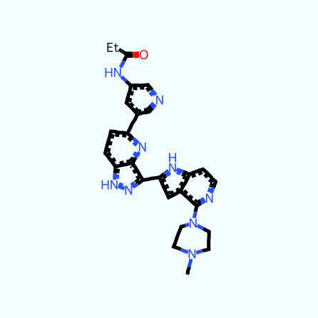 CCC(=O)Nc1cncc(-c2ccc3[nH]nc(-c4cc5c(N6CCN(C)CC6)nccc5[nH]4)c3n2)c1